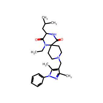 CCN1C(=O)C(CC(C)C)NC(=O)C12CCN(Cc1c(C)nn(-c3ccccc3)c1C)CC2